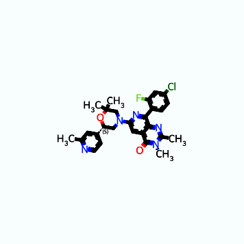 Cc1cc([C@H]2CN(c3cc4c(=O)n(C)c(C)nc4c(-c4ccc(Cl)cc4F)n3)CC(C)(C)O2)ccn1